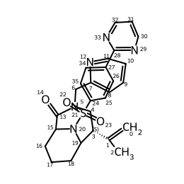 C=C(C)[C@H]1CN(Cc2ccccn2)C(=O)C2CCCC1N2S(=O)(=O)c1ccc(-c2ncccn2)cc1